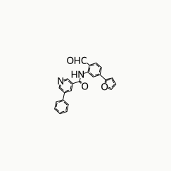 O=Cc1ccc(-c2ccco2)cc1NC(=O)c1cncc(-c2ccccc2)c1